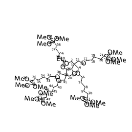 CCOCC(COCCCCC[Si](OC)(OC)OC)(COCCCCC[Si](OC)(OC)OC)COCC(COCCCCC[Si](OC)(OC)OC)(COCCCCC[Si](OC)(OC)OC)COCCCCC[Si](OC)(OC)OC